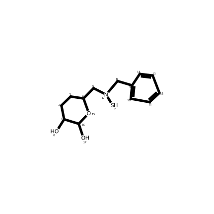 OC1CCC(CN(S)Cc2ccccc2)OC1O